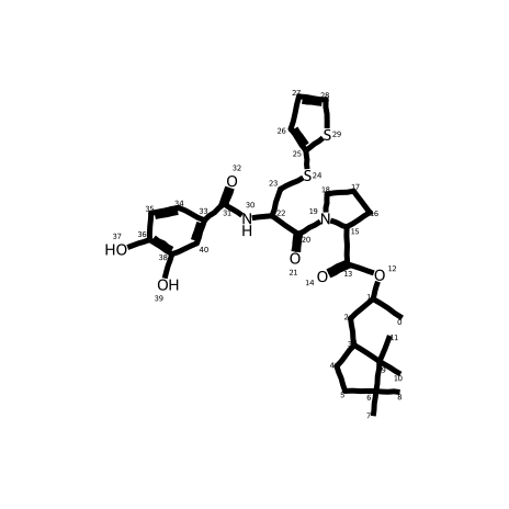 CC(CC1CCC(C)(C)C1(C)C)OC(=O)C1CCCN1C(=O)C(CSc1cccs1)NC(=O)c1ccc(O)c(O)c1